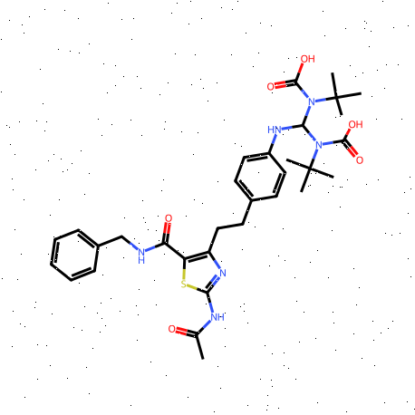 CC(=O)Nc1nc(CCc2ccc(NC(N(C(=O)O)C(C)(C)C)N(C(=O)O)C(C)(C)C)cc2)c(C(=O)NCc2ccccc2)s1